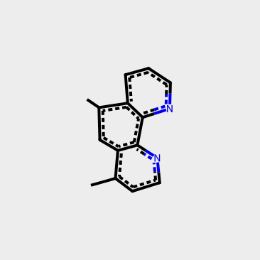 Cc1cc2c(C)ccnc2c2ncccc12